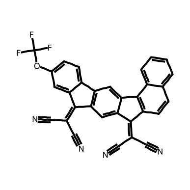 N#CC(C#N)=C1c2cc(OC(F)(F)F)ccc2-c2cc3c(cc21)C(=C(C#N)C#N)c1ccc2ccccc2c1-3